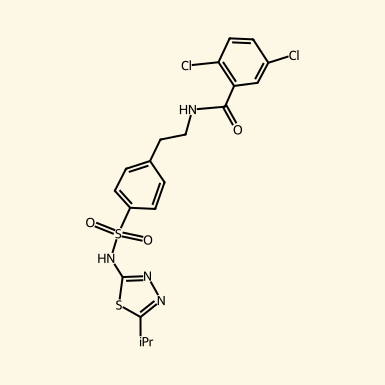 CC(C)c1nnc(NS(=O)(=O)c2ccc(CCNC(=O)c3cc(Cl)ccc3Cl)cc2)s1